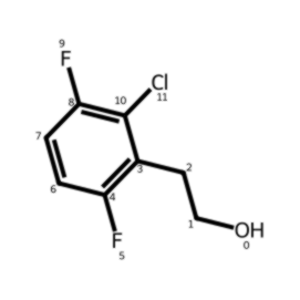 OCCc1c(F)ccc(F)c1Cl